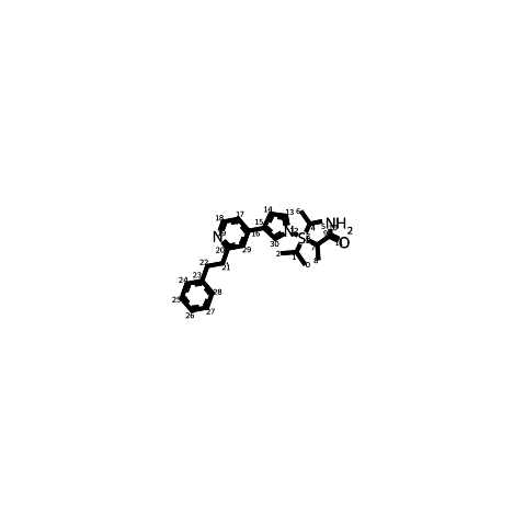 CC(C)[Si](C(C)C)(C(C)C(N)=O)n1ccc(-c2ccnc([CH]Cc3ccccc3)c2)c1